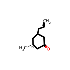 C=CCC1CC(=O)C[C@H](C)C1